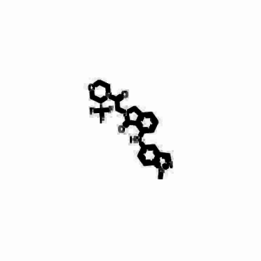 Cn1ncc2cc(Nc3cccc4c3C(=O)N(CC(=O)N3CCOC[C@H]3C(F)(F)F)C4)ccc21